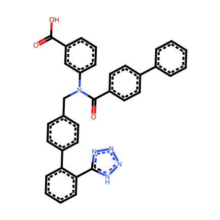 O=C(O)c1cccc(N(Cc2ccc(-c3ccccc3-c3nnn[nH]3)cc2)C(=O)c2ccc(-c3ccccc3)cc2)c1